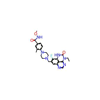 CCN1C(=O)Nc2c(F)c(CN3CCN(c4ccc(C(=O)NOC)cc4C)CC3)cc3ncnc1c23